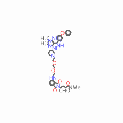 C=N/C(N)=C(C(=N)c1ccc(Oc2ccccc2)cc1)\C(=N/C)NC1CCCN(CCOCCOCCNc2cccc3c2C(=O)N(C(C=O)CCC(=O)NC)C3=O)C1